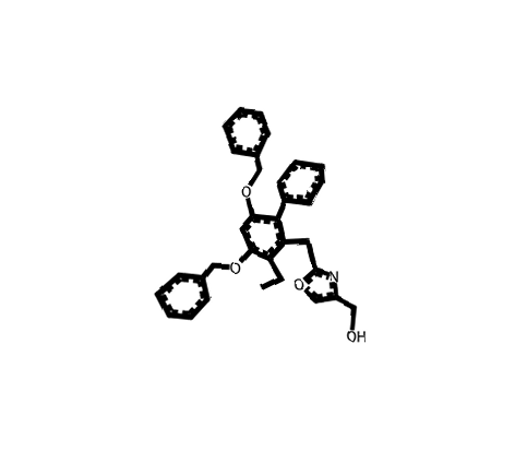 CCc1c(OCc2ccccc2)cc(OCc2ccccc2)c(-c2ccccc2)c1Cc1nc(CO)co1